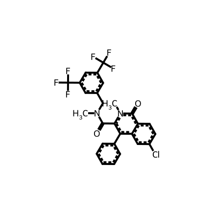 CN(Cc1cc(C(F)(F)F)cc(C(F)(F)F)c1)C(=O)c1c(-c2ccccc2)c2cc(Cl)ccc2c(=O)n1C